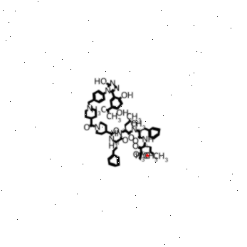 CC(C)C[C@H](NC(=O)[C@H](CCc1ccccc1)NC(=O)C1CCN(C(=O)C2CCN(Cc3ccc(-n4c(O)nnc4-c4cc(C(C)C)c(O)cc4O)cc3)CC2)CC1)C(=O)N[C@@H](Cc1ccccc1)C(=O)N[C@@H](CC(C)C)C(=O)[C@@]1(C)CO1